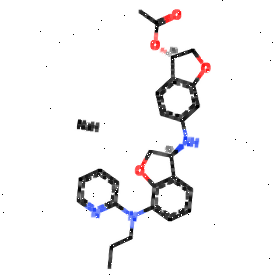 CCCN(c1ccccn1)c1cccc2c1OC[C@H]2Nc1ccc2c(c1)OC[C@H]2OC(C)=O.[NaH]